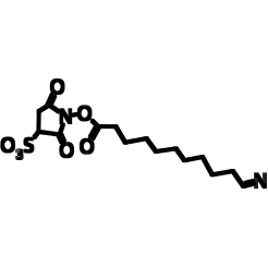 N=CCCCCCCCCCC(=O)ON1C(=O)CC(S(=O)(=O)O)C1=O